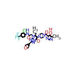 CCc1c(N2CCN(C(=O)c3ncnc(C)c3O)CC2)c(=O)n2nc(C3C4COCC43)nc2n1CC(=O)Nc1ccc(C(F)(F)F)cc1Cl